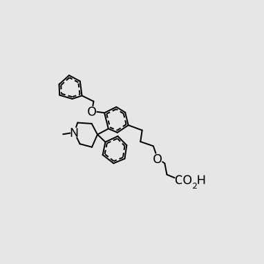 CN1CCC(c2ccccc2)(c2cc(CCCOCCC(=O)O)ccc2OCc2ccccc2)CC1